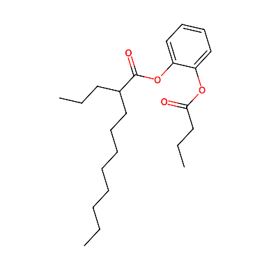 CCCCCCCCC(CCC)C(=O)Oc1ccccc1OC(=O)CCC